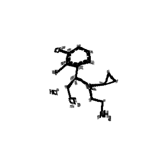 Cl.NCCN(C1CC1)[C@@H](CC(F)(F)F)c1cccc(Cl)c1F